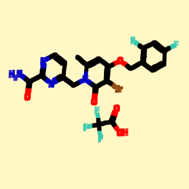 Cc1cc(OCc2ccc(F)cc2F)c(Br)c(=O)n1Cc1ccnc(C(N)=O)n1.O=C(O)C(F)(F)F